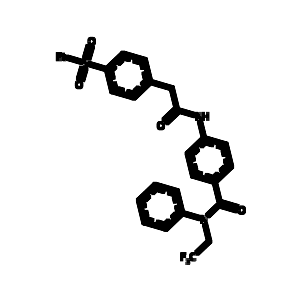 CCS(=O)(=O)c1ccc(CC(=O)Nc2ccc(C(=O)N(CC(F)(F)F)c3ccccc3)cc2)cc1